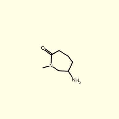 CN1CC(N)CCCC1=O